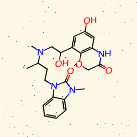 CC(CCn1c(=O)n(C)c2ccccc21)N(C)CC(O)c1cc(O)cc2c1OCC(=O)N2